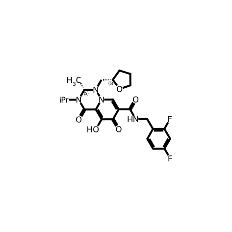 CC(C)N1C(=O)c2c(O)c(=O)c(C(=O)NCc3ccc(F)cc3F)cn2N(C[C@@H]2CCCO2)[C@H]1C